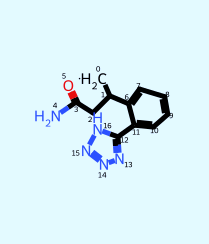 [CH2]C(CC(N)=O)c1ccccc1-c1nnn[nH]1